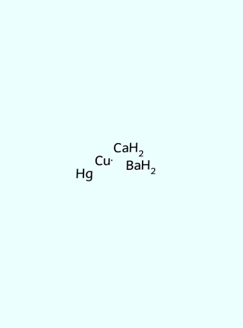 [BaH2].[CaH2].[Cu].[Hg]